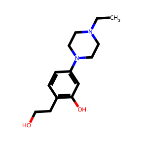 CCN1CCN(c2ccc(CCO)c(O)c2)CC1